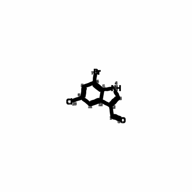 O=Cc1c[nH]c2c(Br)cc(Cl)cc12